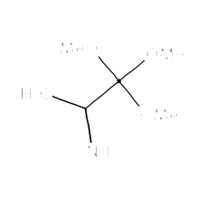 COC(OC)(OC)[C](C)N